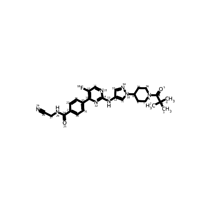 CC(C)(C)C(=O)N1CCC(n2cc(Nc3ncc(F)c(-c4ccc(C(=O)NCC#N)cc4)n3)cn2)CC1